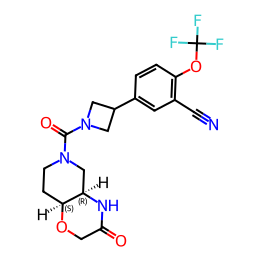 N#Cc1cc(C2CN(C(=O)N3CC[C@@H]4OCC(=O)N[C@@H]4C3)C2)ccc1OC(F)(F)F